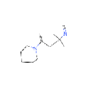 C=NC(C)(C)CC(=C)N1CCCCC1